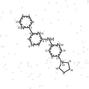 c1ccc(-c2cncc(Nc3ccc(N4CCCC4)cn3)n2)nc1